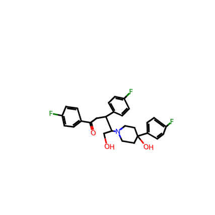 O=C(CC(c1ccc(F)cc1)C(CO)N1CCC(O)(c2ccc(F)cc2)CC1)c1ccc(F)cc1